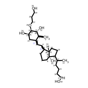 C=C1/C(=C\C=C2/CCC[C@]3(C)C(C(C)CCCPO)CC[C@@H]23)C[C@@H](O)[C@@H](OCCCO)[C@@H]1O